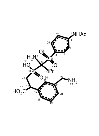 CC(=O)Nc1ccc(S(=O)(=O)C(N)(C(C)C)P(=O)(O)CC(C(=O)O)c2cccc(CN)c2)cc1